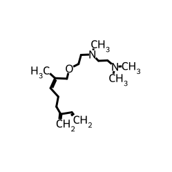 C=CC(=C)CC/C=C(/C)COCCN(C)CCN(C)C